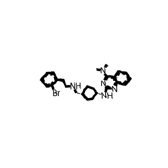 CN(C)c1nc(N[C@H]2CC[C@@H](CNCCc3ccccc3Br)CC2)nc2ccccc12